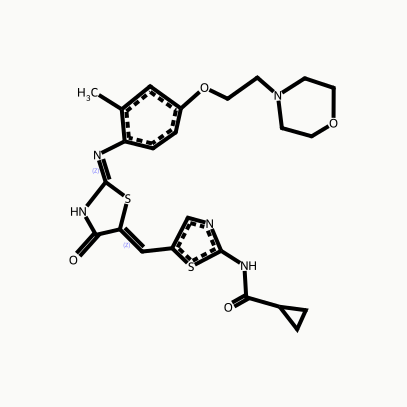 Cc1cc(OCCN2CCOCC2)ccc1/N=C1/NC(=O)/C(=C/c2cnc(NC(=O)C3CC3)s2)S1